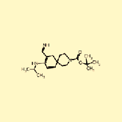 CC(C)NC1=C(C=N)CC2(C=C1)CCN(C(=O)OC(C)(C)C)CC2